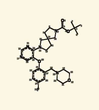 CC(C)(C)OC(=O)N1CCC2(CCN(c3ncncc3Oc3ccc(F)cc3CN3CCOCC3)C2)C1